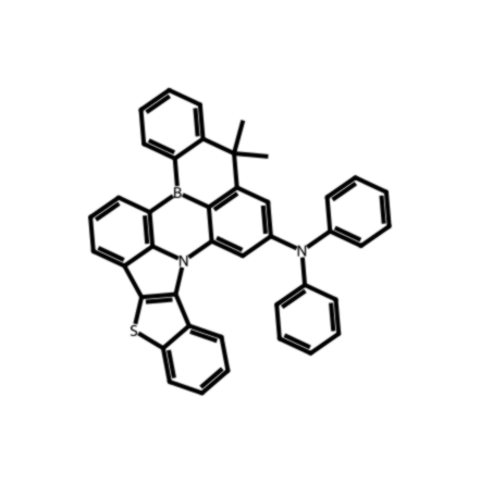 CC1(C)c2ccccc2B2c3c(cc(N(c4ccccc4)c4ccccc4)cc31)-n1c3c2cccc3c2sc3ccccc3c21